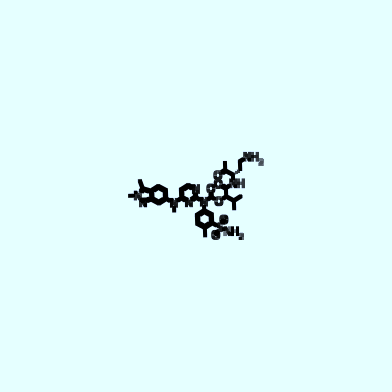 CC(=O)[C@H](CCN)NC(=O)C(OC(=O)N(c1ccc(C)c(S(N)(=O)=O)c1)c1nccc(N(C)c2ccc3c(C)n(C)nc3c2)n1)C(C)C